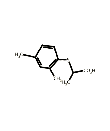 Cc1ccc(SC(C)C(=O)O)c(C)c1